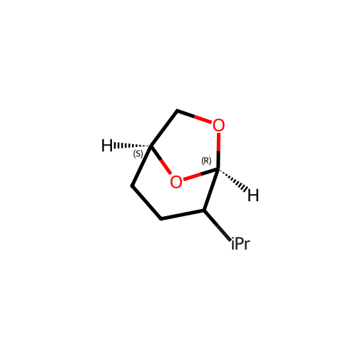 CC(C)C1CC[C@H]2CO[C@@H]1O2